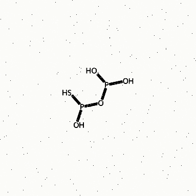 OP(O)OP(O)S